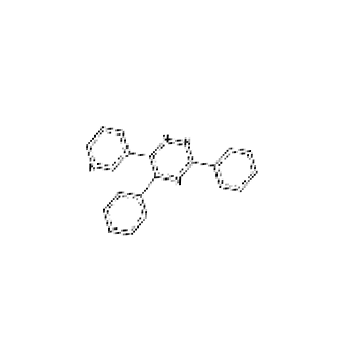 c1ccc(-c2nnc(-c3cccnc3)c(-c3ccccc3)n2)cc1